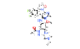 C=CC(=O)Nc1cc(Nc2cc(N3OCCC3c3ccc(F)c(F)c3)ncn2)c(OC)cc1N1CCN(CC)CC1